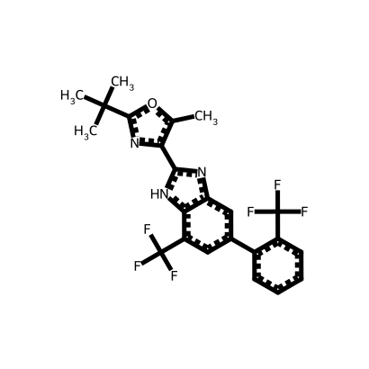 Cc1oc(C(C)(C)C)nc1-c1nc2cc(-c3ccccc3C(F)(F)F)cc(C(F)(F)F)c2[nH]1